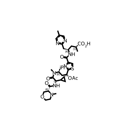 CC(=O)O[C@H](C[C@H](C(C)C)N(C)C(=O)[C@@H](NC(=O)[C@H]1COCCN1C)C1CC1)c1nc(C(=O)N[C@@H](Cc2ncc(C)cn2)C[C@H](C)C(=O)O)cs1